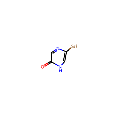 O=c1cnc(S)[c][nH]1